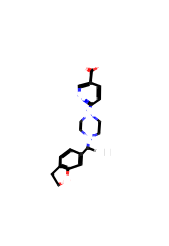 CC(c1ccc2c(c1)OCC2)N1CCN(c2ccc(C(=O)O)cn2)CC1